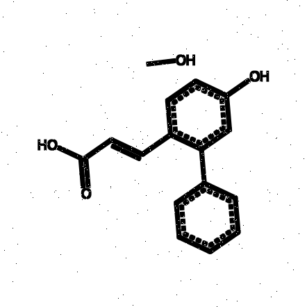 CO.O=C(O)C=Cc1ccc(O)cc1-c1ccccc1